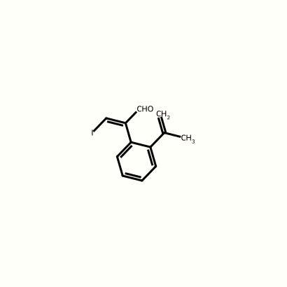 C=C(C)c1ccccc1/C(C=O)=C\I